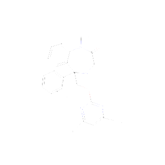 CCOC(=O)[C@@H](Oc1nc(C)cc(C)n1)C1(c2ccccc2)NCC(=O)N(C)c2ccccc21